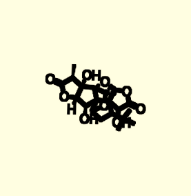 C[C@@H]1C(=O)O[C@H]2[C@H](O)C34C5CC(C(C)(C)C)C36C(OC(=O)C6O)O[C@@]4(C(=O)O5)[C@@]12O